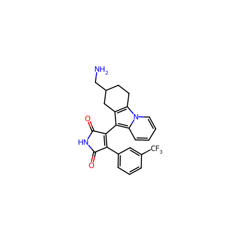 NCC1CCc2c(c(C3=C(c4cccc(C(F)(F)F)c4)C(=O)NC3=O)c3ccccn23)C1